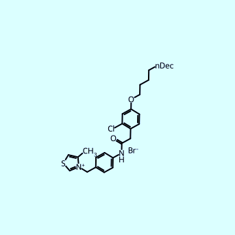 CCCCCCCCCCCCCCOc1ccc(CC(=O)Nc2ccc(C[n+]3cscc3C)cc2)c(Cl)c1.[Br-]